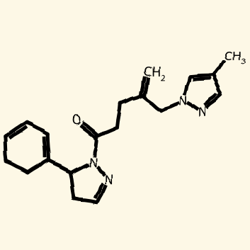 C=C(CCC(=O)N1N=CCC1C1=CC=CCC1)Cn1cc(C)cn1